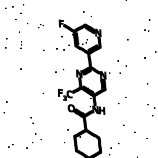 O=C(Nc1cnc(-c2cncc(F)c2)nc1C(F)(F)F)C1CCCCC1